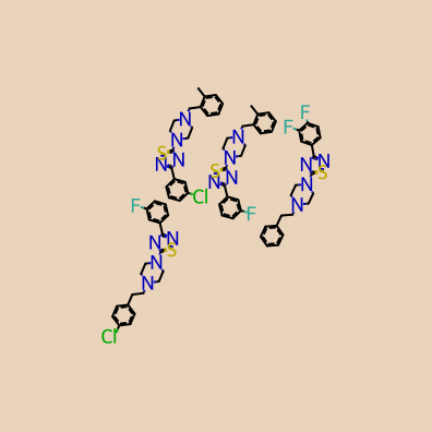 Cc1ccccc1CN1CCN(c2nc(-c3cccc(Cl)c3)ns2)CC1.Cc1ccccc1CN1CCN(c2nc(-c3cccc(F)c3)ns2)CC1.Fc1ccc(-c2nsc(N3CCN(CCc4ccccc4)CC3)n2)cc1F.Fc1cccc(-c2nsc(N3CCN(CCc4ccc(Cl)cc4)CC3)n2)c1